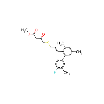 COC(=O)CC(=O)CSCC=Cc1c(C)cc(C)cc1-c1ccc(F)c(C)c1